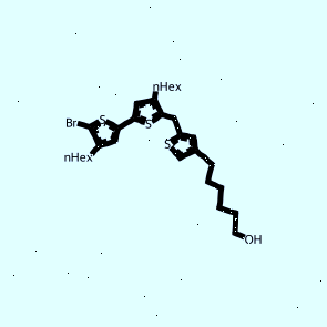 CCCCCCc1cc(-c2cc(CCCCCC)c(Cc3cc(CCCCCCO)cs3)s2)sc1Br